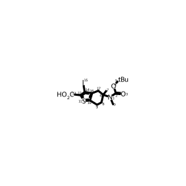 CN(C(=O)OC(C)(C)C)C1(C)CCc2sc(C(=O)O)c(I)c2C1